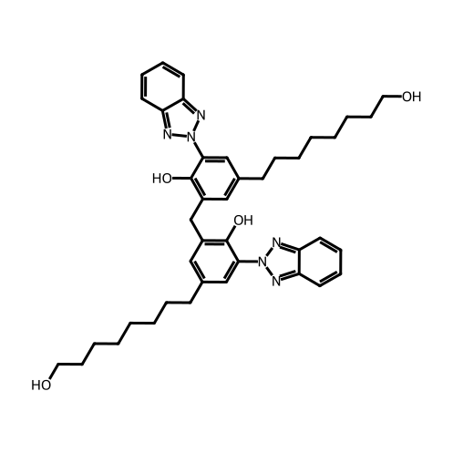 OCCCCCCCCc1cc(Cc2cc(CCCCCCCCO)cc(-n3nc4ccccc4n3)c2O)c(O)c(-n2nc3ccccc3n2)c1